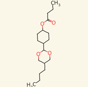 CCCCC1COC(C2CCC(OC(=O)CCC)CC2)OC1